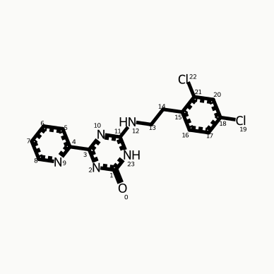 O=c1nc(-c2ccccn2)nc(NCCc2ccc(Cl)cc2Cl)[nH]1